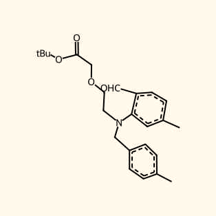 Cc1ccc(CN(CCOCC(=O)OC(C)(C)C)c2cc(C)ccc2C=O)cc1